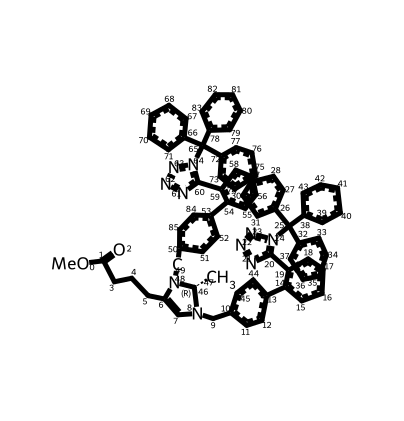 COC(=O)CCCC1=CN(Cc2ccc(-c3ccccc3-c3nnnn3C(c3ccccc3)(c3ccccc3)c3ccccc3)cc2)[C@@H](C)N1Cc1ccc(-c2ccccc2-c2nnnn2C(c2ccccc2)(c2ccccc2)c2ccccc2)cc1